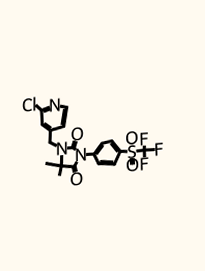 CC1(C)C(=O)N(c2ccc(S(=O)(=O)C(F)(F)F)cc2)C(=O)N1Cc1ccnc(Cl)c1